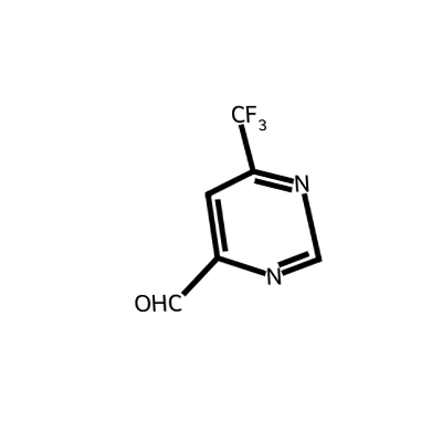 O=Cc1cc(C(F)(F)F)ncn1